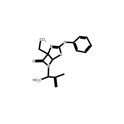 C=C(C)C(C(=O)O)N1C(=O)C2(CC(Cl)(Cl)Cl)N=C(Oc3ccccc3)SC12